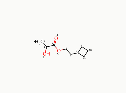 [CH2]C(O)C(=O)OCCC1CCC1